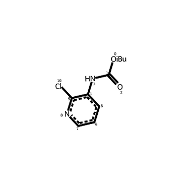 CC(C)COC(=O)Nc1cccnc1Cl